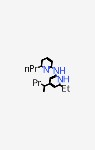 CCCC1CC=CC(NC2=CC(C(C)C(C)C)=CC(CC)N2)=N1